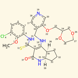 COc1c(Cl)cccc1NC(=S)C1=C(NCc2ccncc2OCC2COCCO2)[C@H]2CCC[C@H]2NC1=O